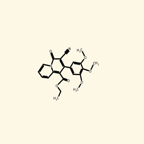 CCOC(=O)c1c(-c2cc(OC)c(OC)c(OC)c2)c(C#N)c(=O)n2ccccc12